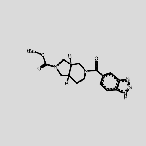 CC(C)(C)OC(=O)N1C[C@H]2CCN(C(=O)c3ccc4[nH]nnc4c3)C[C@H]2C1